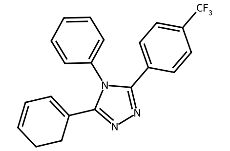 FC(F)(F)c1ccc(-c2nnc(C3=CC=CCC3)n2-c2ccccc2)cc1